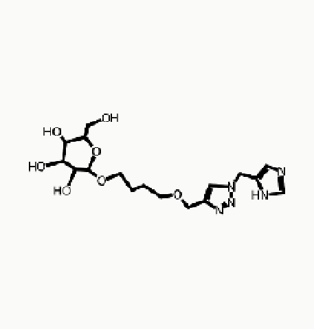 OCC1OC(OCCCCOCc2cn(Cc3cnc[nH]3)nn2)C(O)C(O)C1O